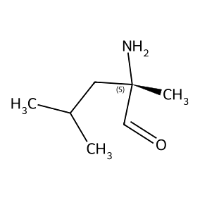 CC(C)C[C@](C)(N)C=O